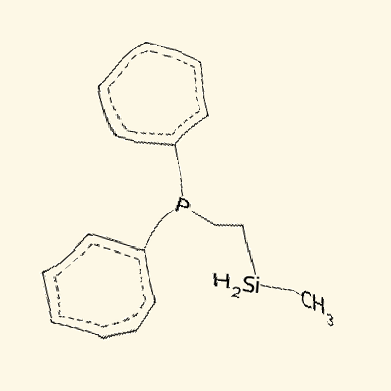 C[SiH2]CP(c1ccccc1)c1ccccc1